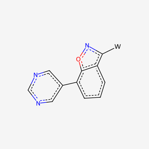 [W][c]1noc2c(-c3cncnc3)cccc12